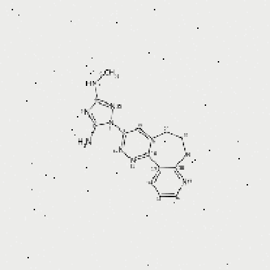 CNc1nc(N)n(-c2cc3c(nn2)-c2cccnc2CCC3)n1